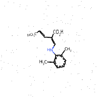 Cc1cccc(C)c1NC=C(/C=C/C(=O)O)C(=O)O